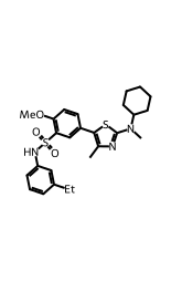 CCc1cccc(NS(=O)(=O)c2cc(-c3sc(N(C)C4CCCCC4)nc3C)ccc2OC)c1